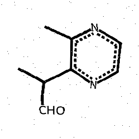 Cc1nccnc1C(C)C=O